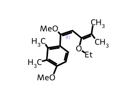 CCOC(/C=C(/OC)c1ccc(OC)c(C)c1C)=C(C)C